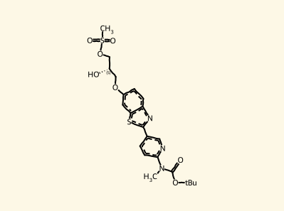 CN(C(=O)OC(C)(C)C)c1ccc(-c2nc3ccc(OC[C@H](O)COS(C)(=O)=O)cc3s2)cn1